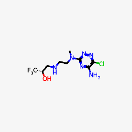 CN(CCNC[C@H](O)C(F)(F)F)c1nnc(Cl)c(N)n1